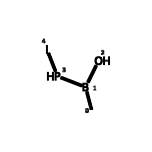 CB(O)PI